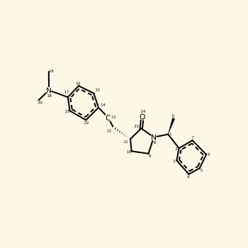 C[C@@H](c1ccccc1)N1CC[C@H](CCc2ccc(N(C)C)cc2)C1=O